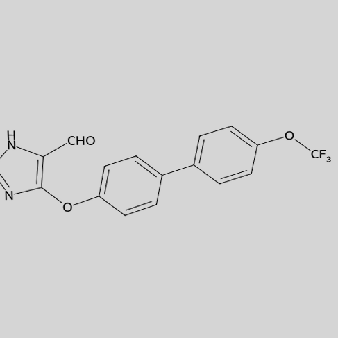 O=Cc1[nH]nnc1Oc1ccc(-c2ccc(OC(F)(F)F)cc2)cc1